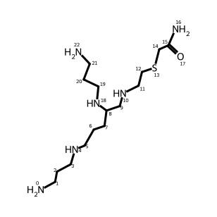 NCCCNCCCC(CNCCSCC(N)=O)NCCCN